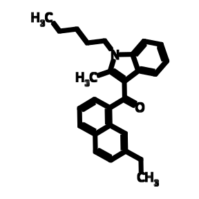 CCCCCn1c(C)c(C(=O)c2cccc3ccc(CC)cc23)c2ccccc21